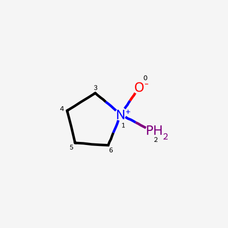 [O-][N+]1(P)CCCC1